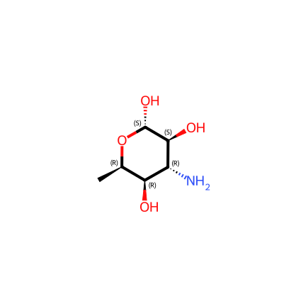 C[C@H]1O[C@H](O)[C@@H](O)[C@H](N)[C@H]1O